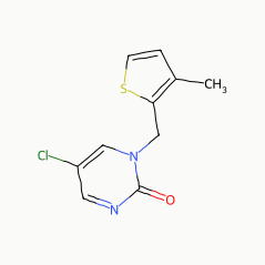 Cc1ccsc1Cn1cc(Cl)cnc1=O